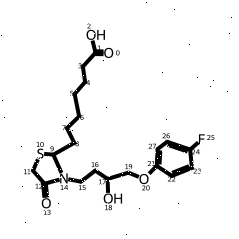 O=C(O)CCCCCCC1SCC(=O)N1CCC(O)COc1ccc(F)cc1